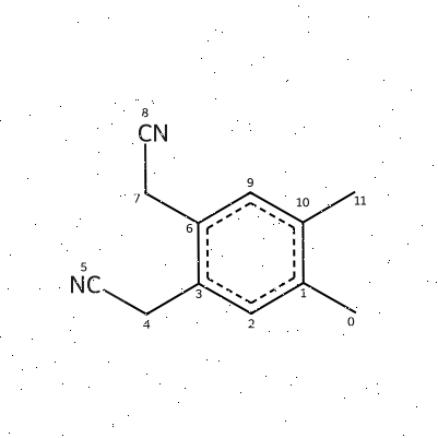 Cc1cc(CC#N)c(CC#N)cc1C